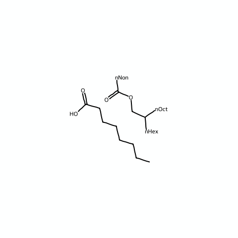 CCCCCCCC(=O)O.CCCCCCCCCC(=O)OCC(CCCCCC)CCCCCCCC